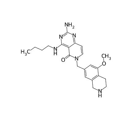 CCCCNc1nc(N)nc2ccn(Cc3cc4c(c(OC)c3)CCNC4)c(=O)c12